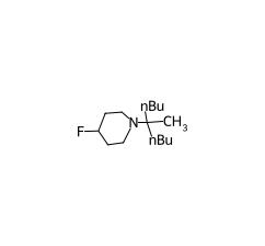 CCCCC(C)(CCCC)N1CCC(F)CC1